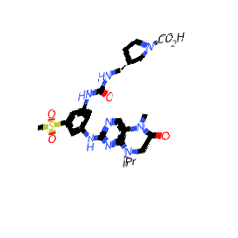 CC(C)N1CC(=O)N(C)c2cnc(Nc3cc(NC(=O)NC[C@@H]4CCN(C(=O)O)C4)cc(S(C)(=O)=O)c3)nc21